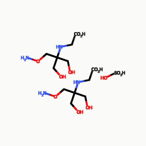 NOCC(CO)(CO)NCC(=O)O.NOCC(CO)(CO)NCC(=O)O.O=S(=O)(O)O